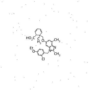 CCOc1ccc(Cn2c(C)nc3c(C)cc(OCC4(C)C=CC=CC4C(=O)O)cc32)c(Cl)c1